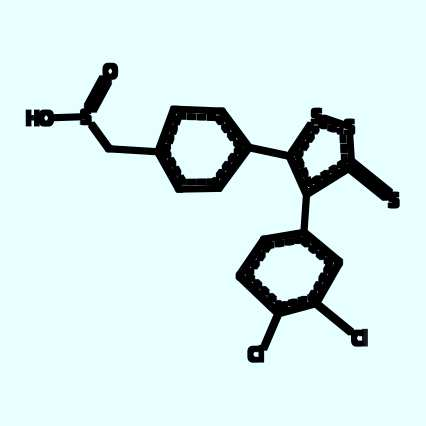 O=S(O)Cc1ccc(-c2ssc(=S)c2-c2ccc(Cl)c(Cl)c2)cc1